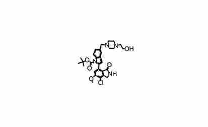 COc1cc(-c2cc3cc(CN4CCN(CCO)CC4)ccc3n2C(=O)OC(C)(C)C)c2c(c1Cl)CNC2=O